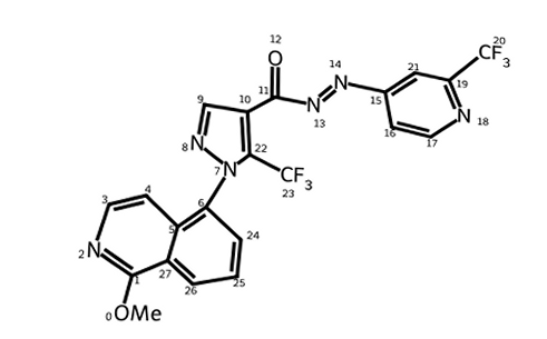 COc1nccc2c(-n3ncc(C(=O)N=Nc4ccnc(C(F)(F)F)c4)c3C(F)(F)F)cccc12